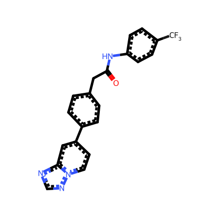 O=C(Cc1ccc(-c2ccn3ncnc3c2)cc1)Nc1ccc(C(F)(F)F)cc1